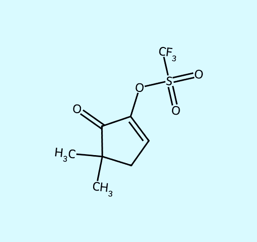 CC1(C)CC=C(OS(=O)(=O)C(F)(F)F)C1=O